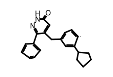 O=c1cc(Cc2cc[c]c(C3CCCC3)c2)c(-c2ccccc2)n[nH]1